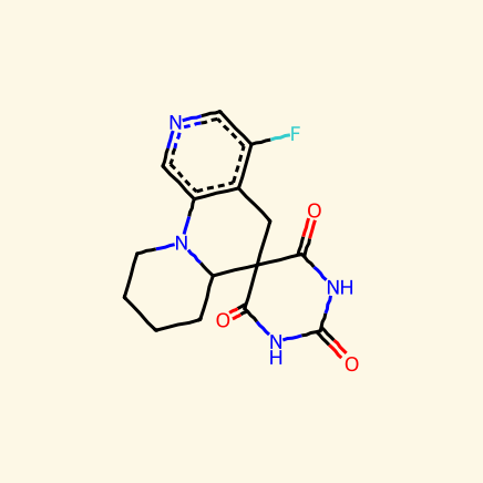 O=C1NC(=O)C2(Cc3c(F)cncc3N3CCCCC32)C(=O)N1